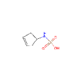 O=S(=O)(O)NC1CC=CC1